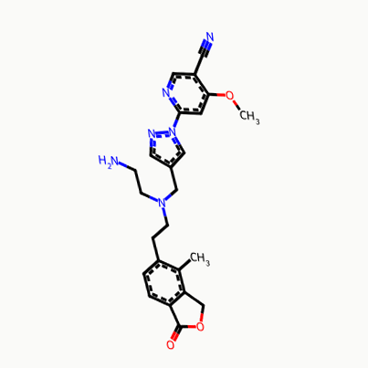 COc1cc(-n2cc(CN(CCN)CCc3ccc4c(c3C)COC4=O)cn2)ncc1C#N